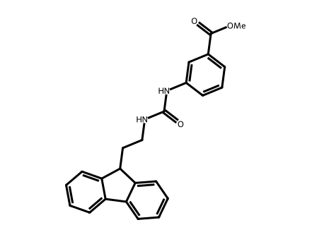 COC(=O)c1cccc(NC(=O)NCCC2c3ccccc3-c3ccccc32)c1